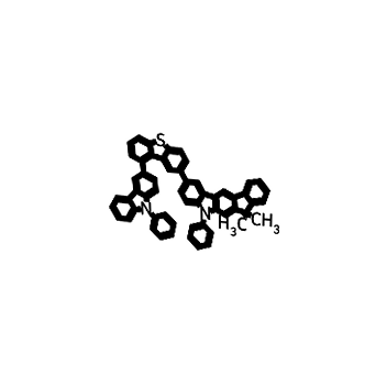 CC1(C)c2ccccc2-c2cc3c4cc(-c5ccc6sc7cccc(-c8ccc9c(c8)c8ccccc8n9-c8ccccc8)c7c6c5)ccc4n(-c4ccccc4)c3cc21